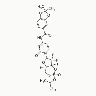 CC(C)OP1(=O)OC[C@H]2OC(n3ccc(NC(=O)c4ccc5c(c4)OC(C)(C)O5)nc3=O)C(F)(F)[C@@H]2O1